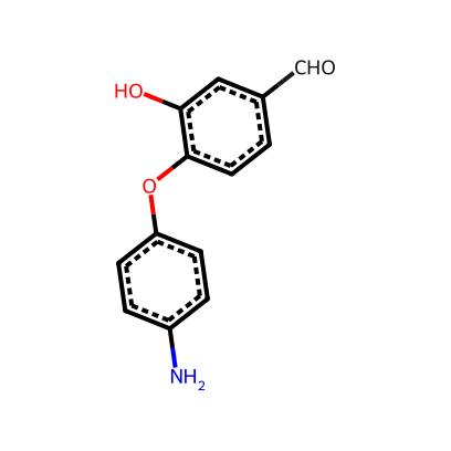 Nc1ccc(Oc2ccc(C=O)cc2O)cc1